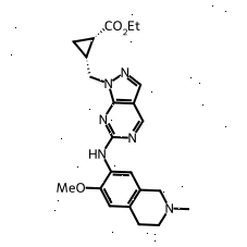 CCOC(=O)[C@H]1C[C@H]1Cn1ncc2cnc(Nc3cc4c(cc3OC)CCN(C)C4)nc21